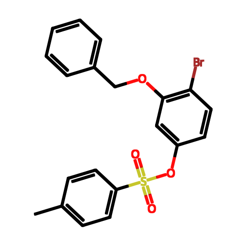 Cc1ccc(S(=O)(=O)Oc2ccc(Br)c(OCc3ccccc3)c2)cc1